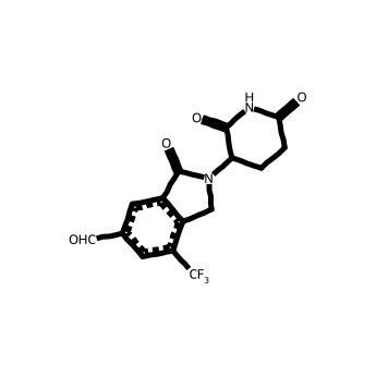 O=Cc1cc2c(c(C(F)(F)F)c1)CN(C1CCC(=O)NC1=O)C2=O